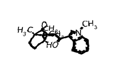 Cn1cc(C(=O)/C=C2/C(=O)[C@@]3(C)CC[C@@H]2C3(C)C)c2ccccc21